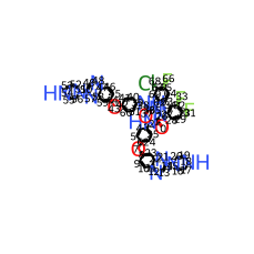 O=C(Nc1ccc(Oc2ccc3ncc(N4CCNCC4)nc3c2)cc1)N(c1ccc(F)c(F)c1)N(C(=O)Nc1ccc(Oc2ccc3ncc(N4CCNCC4)nc3c2)cc1)c1ccc(F)c(Cl)c1